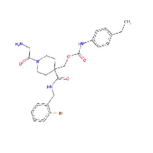 CCc1ccc(NC(=O)OCC2(C(=O)NCc3ccccc3Br)CCN(C(=O)CN)CC2)cc1